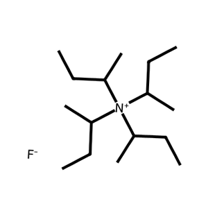 CCC(C)[N+](C(C)CC)(C(C)CC)C(C)CC.[F-]